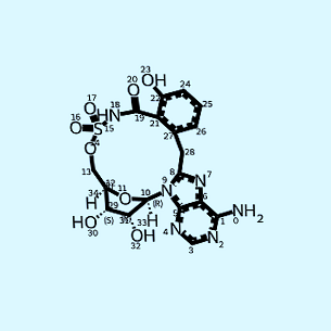 Nc1ncnc2c1nc1n2[C@@H]2O[C@H](COS(=O)(=O)NC(=O)c3c(O)cccc3C1)[C@@H](O)[C@H]2O